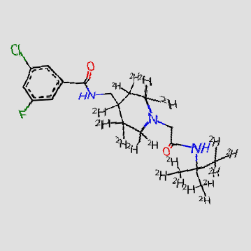 [2H]C([2H])([2H])C(NC(=O)CN1C([2H])([2H])C([2H])([2H])C([2H])(CNC(=O)c2cc(F)cc(Cl)c2)C([2H])([2H])C1([2H])[2H])(C([2H])([2H])[2H])C([2H])([2H])[2H]